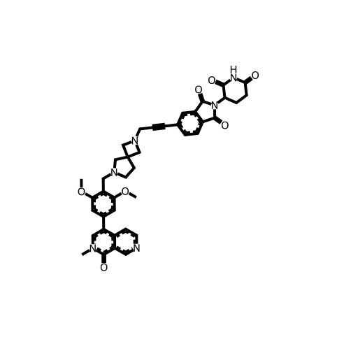 COc1cc(-c2cn(C)c(=O)c3cnccc23)cc(OC)c1CN1CCC2(C1)CN(CC#Cc1ccc3c(c1)C(=O)N(C1CCC(=O)NC1=O)C3=O)C2